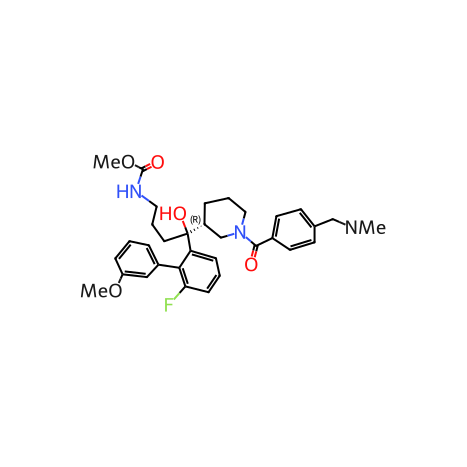 CNCc1ccc(C(=O)N2CCC[C@@H](C(O)(CCCNC(=O)OC)c3cccc(F)c3-c3cccc(OC)c3)C2)cc1